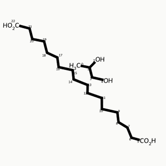 CC(O)CO.O=C(O)CCCCCCCCCCCCCCCCC(=O)O